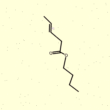 C/C=C/CC(=O)OCCCC